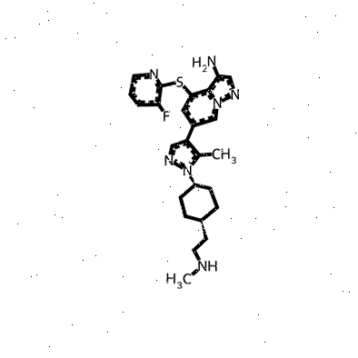 CNCC[C@H]1CC[C@@H](n2ncc(-c3cc(Sc4ncccc4F)c4c(N)cnn4c3)c2C)CC1